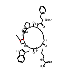 CC(=O)N[C@@H](Cc1ccccc1)C(=O)N[C@H]1CCCNC(=O)[C@H](CCCNC(=N)N)NC(=O)[C@H](Cc2c[nH]c3ccccc23)NC2CC3C(C)[C@H](C=O)C23NC(=O)[C@@H]2CCCN2C1=O